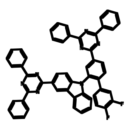 Fc1ccc(-c2ccc(-c3nc(-c4ccccc4)nc(-c4ccccc4)n3)cc2-n2c3ccccc3c3cc(-c4nc(-c5ccccc5)nc(-c5ccccc5)n4)ccc32)cc1F